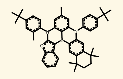 Cc1cc2c3c(c1)N(c1ccc(C(C)(C)C)cc1C)c1oc4ccccc4c1B3c1cc3c(cc1N2c1ccc(C(C)(C)C)cc1)C(C)(C)CCC3(C)C